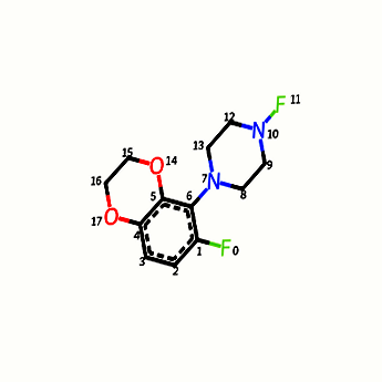 Fc1ccc2c(c1N1CCN(F)CC1)OCCO2